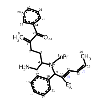 C=C(CCC(CN)N(CCC)C(/C(=C/C=C\C)CC)c1ccccc1)C(=O)c1cccnc1